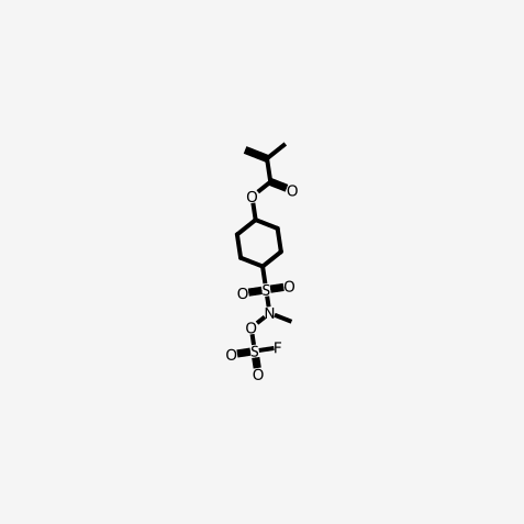 C=C(C)C(=O)OC1CCC(S(=O)(=O)N(C)OS(=O)(=O)F)CC1